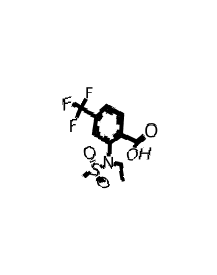 CCN(c1cc(C(F)(F)F)ccc1C(=O)O)S(C)(=O)=O